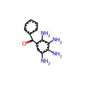 Nc1cc(C(=O)c2ccccc2)c(N)c(N)c1N